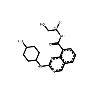 CC[C@H](CO)NC(=O)c1cccc2cnc(NC3CCC(O)CC3)nc12